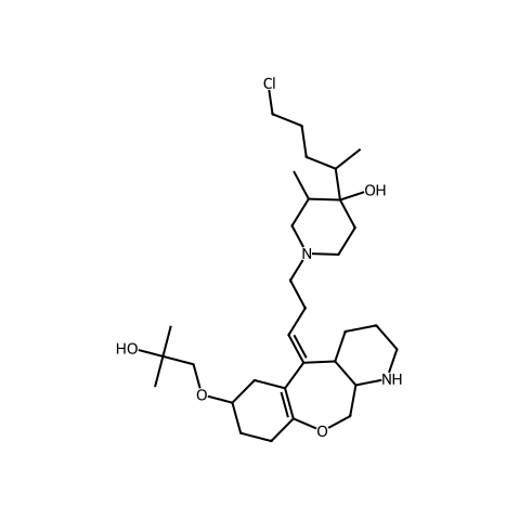 CC(CCCCl)C1(O)CCN(CC/C=C2/C3=C(CCC(OCC(C)(C)O)C3)OCC3NCCCC23)CC1C